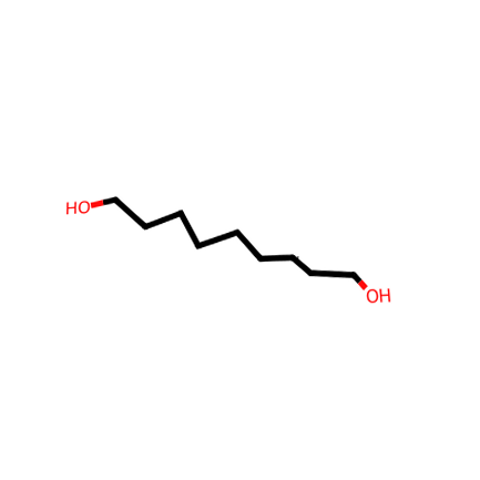 OCC[CH]CCCCCCO